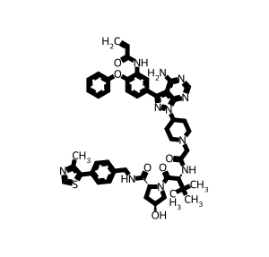 C=CC(=O)Nc1cc(-c2nn(C3CCN(CC(=O)N[C@@H](C(=O)N4C[C@@H](O)C[C@@H]4C(=O)NCc4ccc(-c5scnc5C)cc4)C(C)(C)C)CC3)c3ncnc(N)c23)ccc1Oc1ccccc1